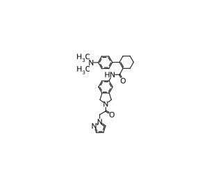 CN(C)c1ccc(C2=C(C(=O)Nc3ccc4c(c3)CN(C(=O)Cn3cccn3)C4)CCCC2)cc1